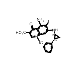 CCn1cc(C(=O)O)c(=O)c2c(N)c(F)c(N[C@H]3C[C@H]3c3ccccc3)cc21